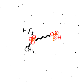 CCCCOP(=O)(CCCCCCCO[PH](=O)O)OCCC